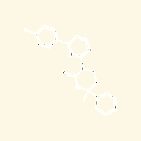 CC1(c2ccccc2)CCN(c2nccc(-c3ccc(F)cc3)n2)C(=O)O1